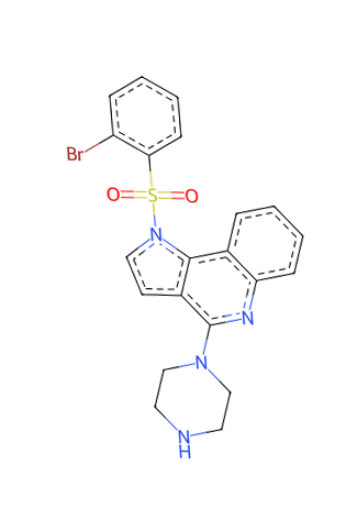 O=S(=O)(c1ccccc1Br)n1ccc2c(N3CCNCC3)nc3ccccc3c21